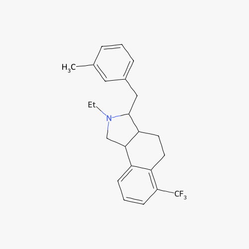 CCN1CC2c3cccc(C(F)(F)F)c3CCC2C1Cc1cccc(C)c1